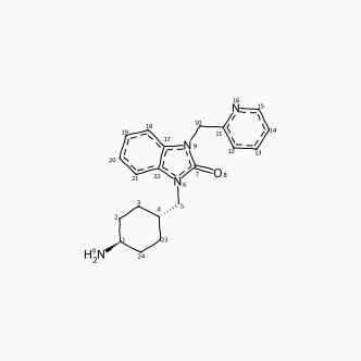 N[C@H]1CC[C@H](Cn2c(=O)n(Cc3ccccn3)c3ccccc32)CC1